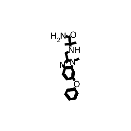 Cn1c(CNC(C)(C)C(N)=O)nc2ccc(Oc3ccccc3)cc21